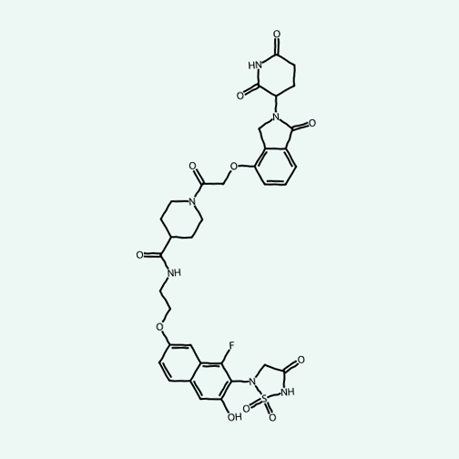 O=C1CCC(N2Cc3c(OCC(=O)N4CCC(C(=O)NCCOc5ccc6cc(O)c(N7CC(=O)NS7(=O)=O)c(F)c6c5)CC4)cccc3C2=O)C(=O)N1